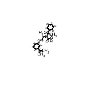 C=C(C)c1cccc(OCCN(C(=O)O)C(C)(C)c2ccccc2)c1